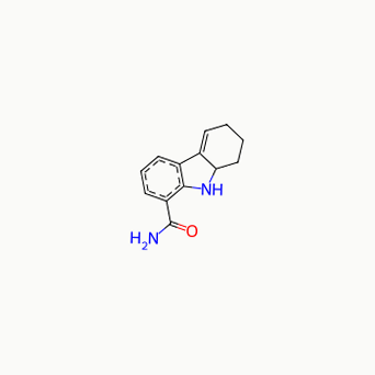 NC(=O)c1cccc2c1NC1CCCC=C21